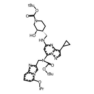 CC(C)Oc1cccc2nc(CN(C(=O)OC(C)(C)C)c3cc(NC[C@H]4CCN(C(=O)OC(C)(C)C)C[C@@H]4O)nc4c(C5CC5)cnn34)cn12